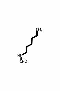 C=CCCCCNC=O